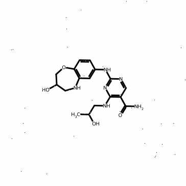 CC(O)CNc1nc(Nc2ccc3c(c2)NCC(O)CO3)ncc1C(N)=O